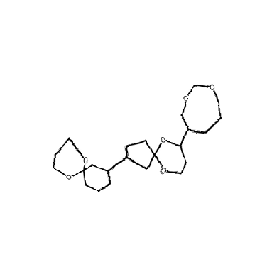 C1COC2(CCCC(C3CCC4(C3)OCCC(C3CCCOCOC3)O4)C2)OC1